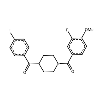 COc1ccc(C(=O)N2CCC(C(=O)c3ccc(F)cc3)CC2)cc1F